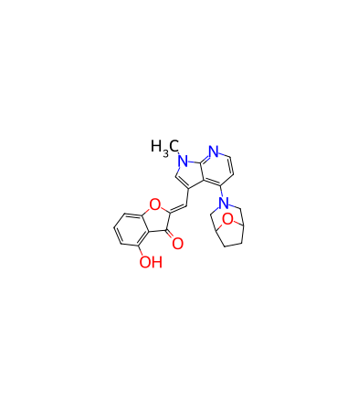 Cn1cc(C=C2Oc3cccc(O)c3C2=O)c2c(N3CC4CCC(C3)O4)ccnc21